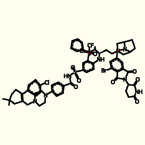 CC1(C)CCC(c2ccc(Cl)cc2)=C(CN2CCN(c3ccc(C(=O)NS(=O)(=O)c4ccc(N[C@H](CCN5CC6CCC(C5)N6Cc5cc(Br)c6c(c5)C(=O)N(C5CCC(=O)NC5=O)C6=O)CSc5ccccc5)c(S(=O)(=O)C(F)(F)F)c4)cc3)CC2)C1